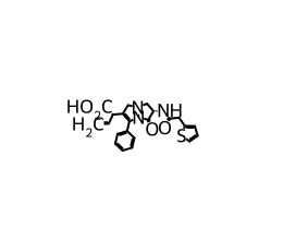 C=CC(C(=O)O)C1=C(c2ccccc2)N2C(=O)[C@@H](NC(=O)Cc3cccs3)CN2C1